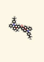 CC(C)(C)c1ccc(-c2ccccc2N(c2ccc(C(C)(C)C)cc2)c2ccc3cc4c(cc3c2)oc2cc3cc(N(c5ccc(C(C)(C)C)cc5)c5ccccc5-c5ccccc5)ccc3cc24)cc1